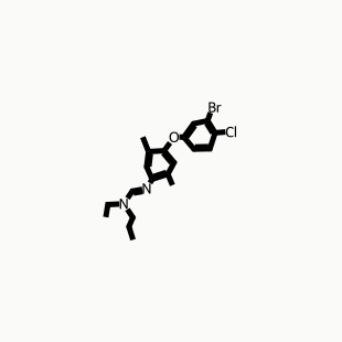 CCCN(/C=N/c1cc(C)c(Oc2ccc(Cl)c(Br)c2)cc1C)CC